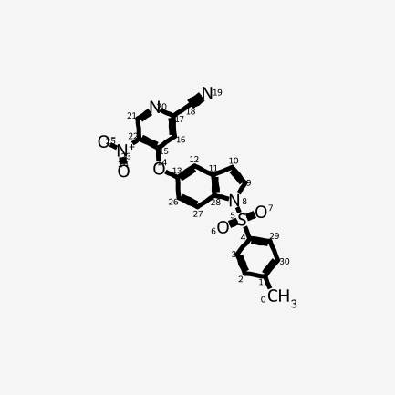 Cc1ccc(S(=O)(=O)n2ccc3cc(Oc4cc(C#N)ncc4[N+](=O)[O-])ccc32)cc1